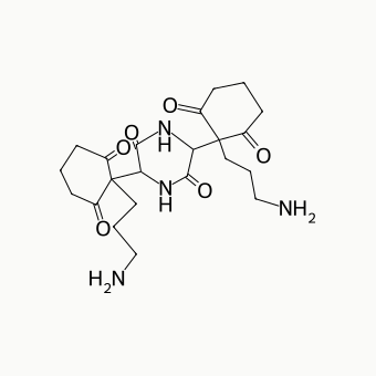 NCCCC1(C2NC(=O)C(C3(CCCN)C(=O)CCCC3=O)NC2=O)C(=O)CCCC1=O